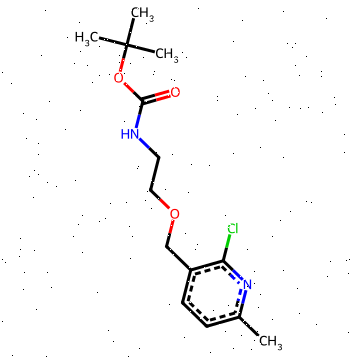 Cc1ccc(COCCNC(=O)OC(C)(C)C)c(Cl)n1